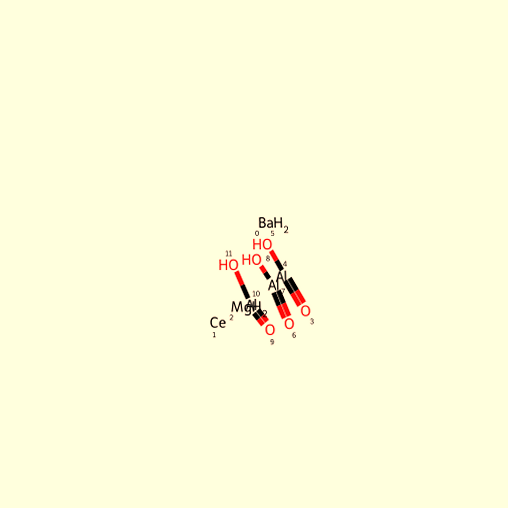 [BaH2].[Ce].[MgH2].[O]=[Al][OH].[O]=[Al][OH].[O]=[Al][OH]